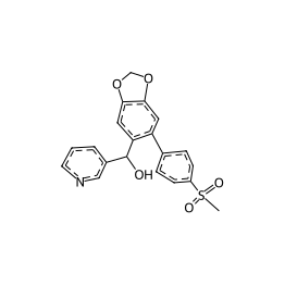 CS(=O)(=O)c1ccc(-c2cc3c(cc2C(O)c2cccnc2)OCO3)cc1